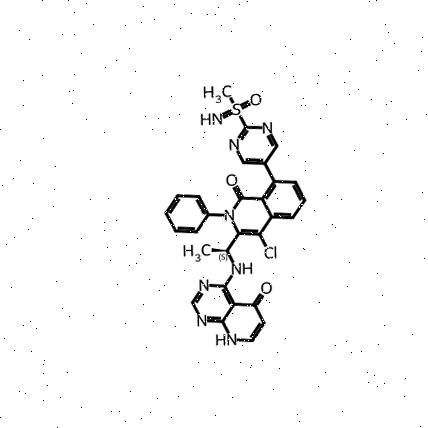 C[C@H](Nc1ncnc2[nH]ccc(=O)c12)c1c(Cl)c2cccc(-c3cnc(S(C)(=N)=O)nc3)c2c(=O)n1-c1ccccc1